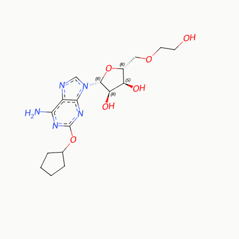 Nc1nc(OC2CCCC2)nc2c1ncn2[C@@H]1O[C@H](COCCO)[C@@H](O)[C@H]1O